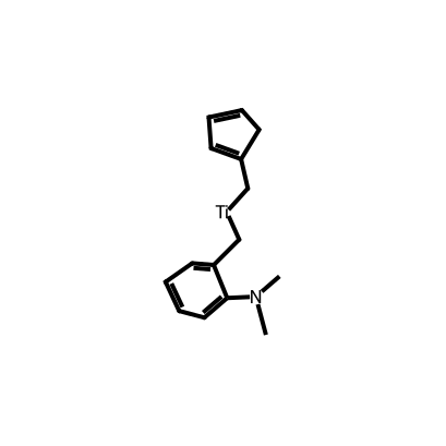 CN(C)c1ccccc1[CH2][Ti][CH2]C1=CC=CC1